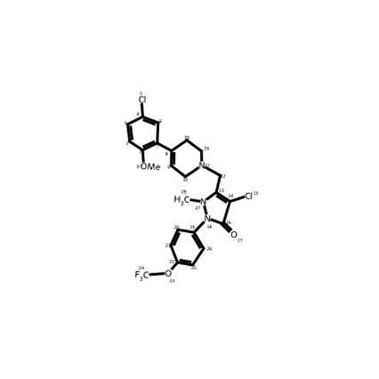 COc1ccc(Cl)cc1C1=CCN(Cc2c(Cl)c(=O)n(-c3ccc(OC(F)(F)F)cc3)n2C)CC1